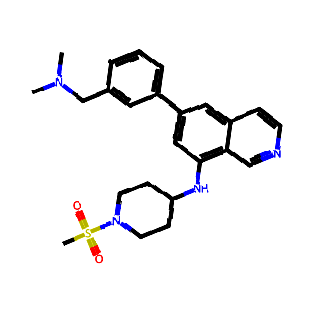 CN(C)Cc1cccc(-c2cc(NC3CCN(S(C)(=O)=O)CC3)c3cnccc3c2)c1